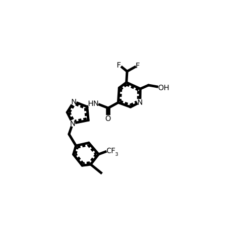 Cc1ccc(Cn2cnc(NC(=O)c3cnc(CO)c(C(F)F)c3)c2)cc1C(F)(F)F